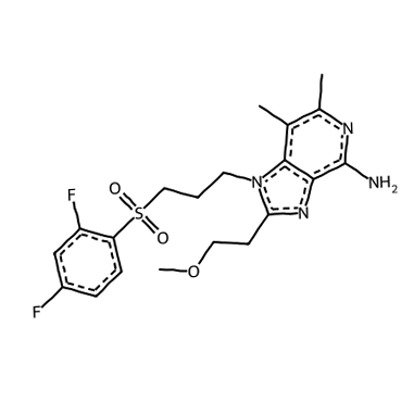 COCCc1nc2c(N)nc(C)c(C)c2n1CCCS(=O)(=O)c1ccc(F)cc1F